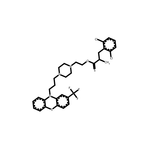 CC(Cc1c(Cl)cccc1Cl)C(=S)OCCN1CCN(CCCN2c3ccccc3Sc3ccc(C(F)(F)F)cc32)CC1